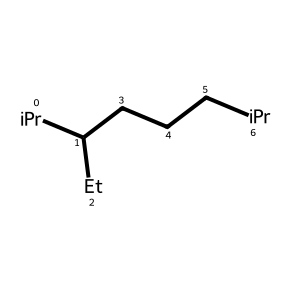 [CH2]C(C)C(CC)CCCC(C)C